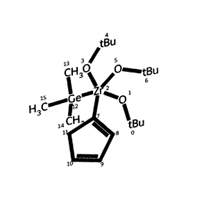 CC(C)(C)[O][Zr]([O]C(C)(C)C)([O]C(C)(C)C)([C]1=CC=CC1)[Ge]([CH3])([CH3])[CH3]